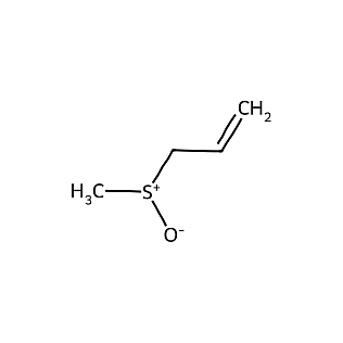 C=CC[S+](C)[O-]